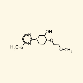 COCCO[C@H]1CCN(c2nccc(SC)n2)C[C@H]1O